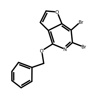 Brc1nc(OCc2ccccc2)c2ccoc2c1Br